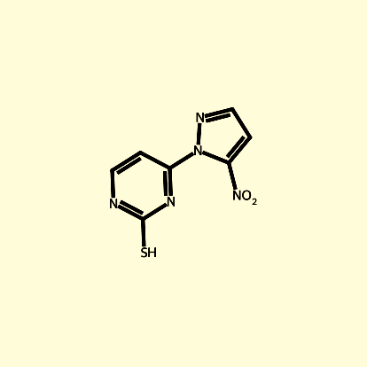 O=[N+]([O-])c1ccnn1-c1ccnc(S)n1